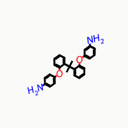 CC(C)(c1ccccc1Oc1ccc(N)cc1)c1ccccc1Oc1cccc(N)c1